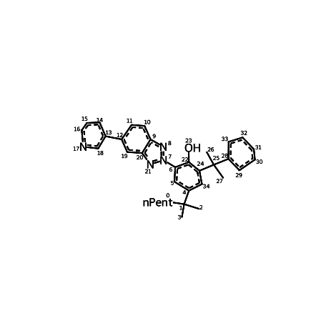 CCCCCC(C)(C)c1cc(-n2nc3ccc(-c4cccnc4)cc3n2)c(O)c(C(C)(C)c2ccccc2)c1